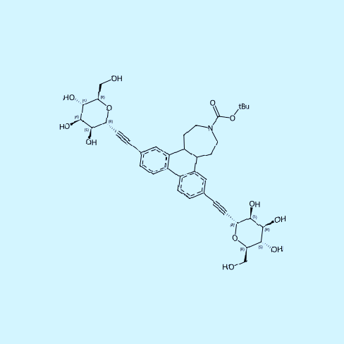 CC(C)(C)OC(=O)N1CCC2c3cc(C#C[C@H]4O[C@H](CO)[C@@H](O)[C@H](O)[C@@H]4O)ccc3-c3ccc(C#C[C@H]4O[C@H](CO)[C@@H](O)[C@H](O)[C@@H]4O)cc3C2CC1